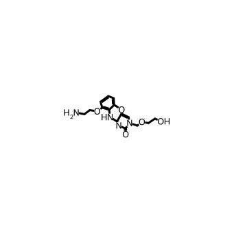 NCCOc1cccc2c1Nc1nc(=O)n(COCCO)cc1O2